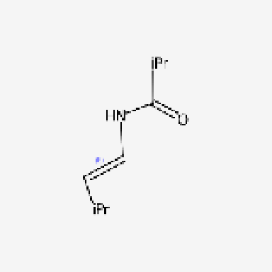 CC(C)/C=C/NC(=O)C(C)C